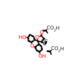 C=C(C)C(=O)O.C=C(C)C(=O)O.O=C1OC2(c3ccc(O)cc3Oc3cc(O)ccc32)c2ccccc21